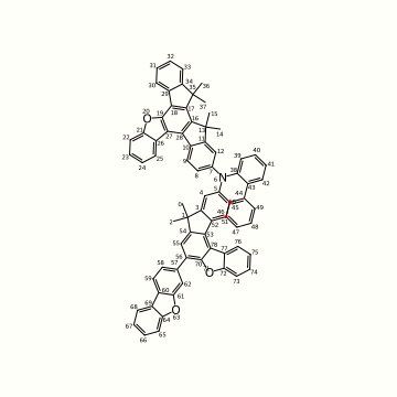 CC1(C)c2cc(N(c3ccc4c(c3)C(C)(C)c3c5c(c6oc7ccccc7c6c3-4)-c3ccccc3C5(C)C)c3ccccc3-c3ccccc3)ccc2-c2c1cc(-c1ccc3c(c1)oc1ccccc13)c1oc3ccccc3c21